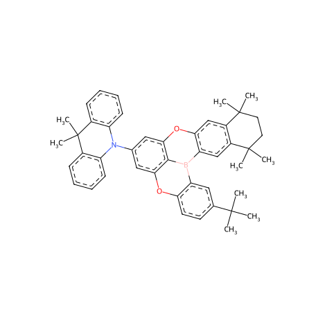 CC(C)(C)c1ccc2c(c1)B1c3cc4c(cc3Oc3cc(N5c6ccccc6C(C)(C)c6ccccc65)cc(c31)O2)C(C)(C)CCC4(C)C